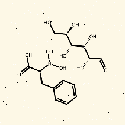 O=C(O)[C@H](Cc1ccccc1)N(O)O.O=C[C@H](O)[C@@H](O)[C@H](O)[C@H](O)CO